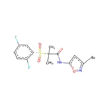 CC(C)(C)c1cc(NC(=O)C(C)(C)S(=O)(=O)c2cc(F)ccc2F)on1